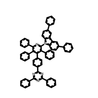 c1ccc(-c2ccc3c(c2)c2cc(-c4ccccc4)ccc2n3-c2nc(-c3ccccc3)c(-c3ccccc3)c(-c3ccc(-c4nc(-c5ccccc5)nc(-c5ccccc5)n4)cc3)c2-c2ccccc2)cc1